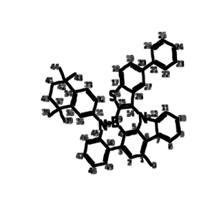 Cc1cc2c3c4c1c1ccccc1n4-c1c(sc4ccc(-c5ccccc5)cc14)B3N(c1ccc3c(c1)C(C)(C)CCC3(C)C)c1ccccc1-2